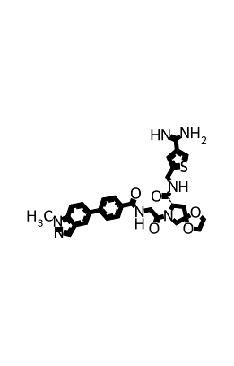 Cn1ncc2cc(-c3ccc(C(=O)NCC(=O)N4CC5(C[C@H]4C(=O)NCc4cc(C(=N)N)cs4)OCCO5)cc3)ccc21